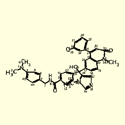 CN(C)c1ccc(CNC(=O)c2ccc(C(O)(c3ccc4c(c3)c(-c3cccc(Cl)c3)cc(=O)n4C)c3cncn3C)cc2)cc1